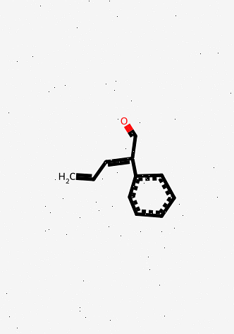 C=C/C=C(/C=O)c1ccccc1